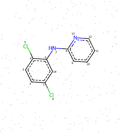 Clc1ccc(Cl)c(Nc2[c]cccn2)c1